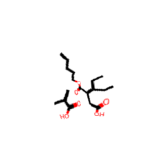 C=C(C)C(=O)O.CCCCCOC(=O)C(CC(=O)O)=C(CC)CC